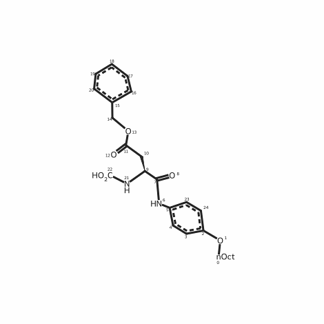 CCCCCCCCOc1ccc(NC(=O)[C@H](CC(=O)OCc2ccccc2)NC(=O)O)cc1